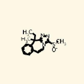 CCC1(C)c2ccccc2C=Cn2c([S+](C)[O-])nnc21